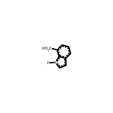 O=C(O)c1cccc2ccn(F)c12